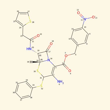 NC1=C(C(=O)OCc2ccc([N+](=O)[O-])cc2)N2C(=O)[C@@H](NC(=O)Cc3cccs3)[C@H]2SC1Sc1ccccc1